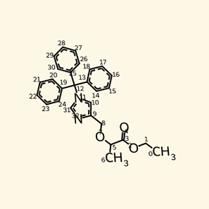 CCOC(=O)C(C)OCc1cn(C(c2ccccc2)(c2ccccc2)c2ccccc2)cn1